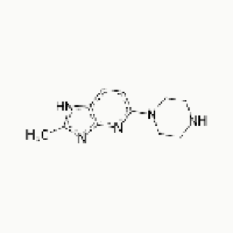 Cc1nc2nc(N3CCNCC3)ccc2[nH]1